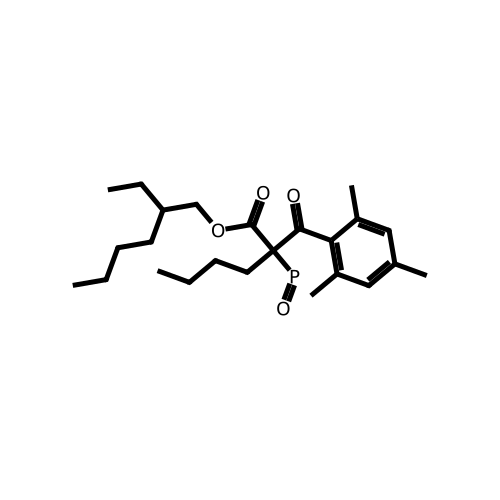 CCCCC(CC)COC(=O)C(CCCC)(P=O)C(=O)c1c(C)cc(C)cc1C